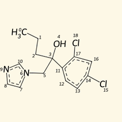 CCCC(O)(Cn1ccnc1)c1ccc(Cl)cc1Cl